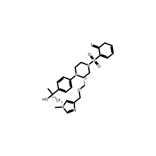 Cn1cnc(COC[C@H]2CN(S(=O)(=O)C3=CC=CCC3=S)CCN2c2ccc([C@](C)(O)C(F)(F)F)cc2)c1